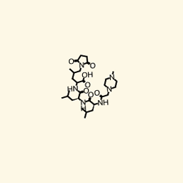 CC(C)C[C@H](NC(=O)CN1CCN(C)CC1)C(=O)N[C@@H](CC(C)C)C(=O)NC(CC(C)CN1C(=O)CCC1=O)C(=O)O